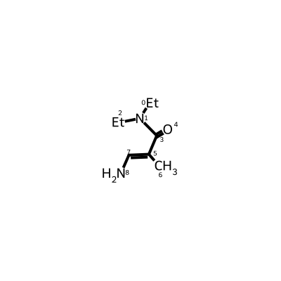 CCN(CC)C(=O)C(C)=CN